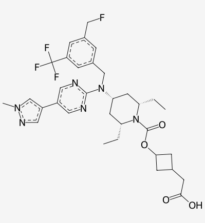 CC[C@@H]1C[C@H](N(Cc2cc(CF)cc(C(F)(F)F)c2)c2ncc(-c3cnn(C)c3)cn2)C[C@H](CC)N1C(=O)OC1CC(CC(=O)O)C1